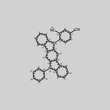 N#Cc1ccc(-n2c3ccccc3c3cc4c(cc32)c2ccccc2n4-c2ccccc2)c(C#N)c1